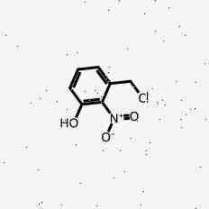 O=[N+]([O-])c1c(O)cccc1CCl